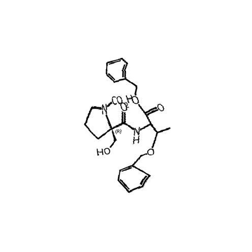 CC(OCc1ccccc1)C(NC(=O)[C@]1(CO)CCCN1C(=O)O)C(=O)OCc1ccccc1